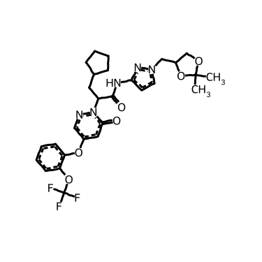 CC1(C)OCC(Cn2ccc(NC(=O)C(CC3CCCC3)n3ncc(Oc4ccccc4OC(F)(F)F)cc3=O)n2)O1